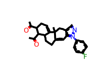 CC(=O)C1CC=C2C(CCC3=Cc4c(cnn4-c4ccc(F)cc4)CC32C)C1C(C)=O